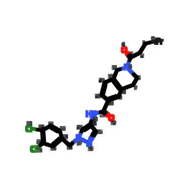 CC(C)CCC(=O)N1CCc2cc(C(=O)Nc3cnn(Cc4ccc(Cl)c(Cl)c4)c3)ccc2C1